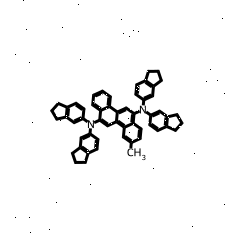 Cc1ccc2c(N(c3ccc4c(c3)CCC4)c3ccc4c(c3)CCC4)cc3c4ccccc4c(N(c4ccc5c(c4)CCC5)c4ccc5c(c4)CCC5)cc3c2c1